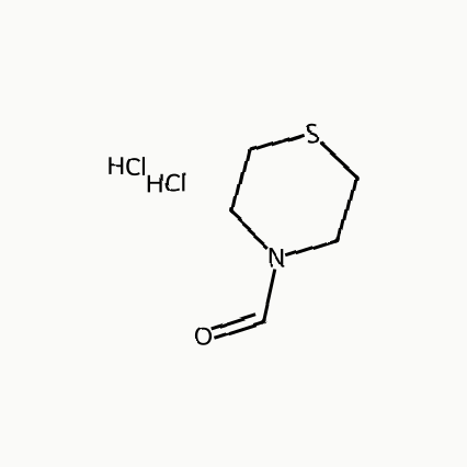 Cl.Cl.O=CN1CCSCC1